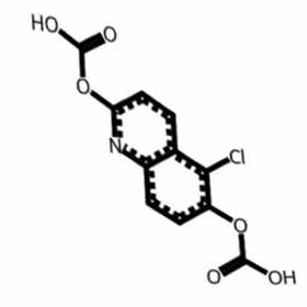 O=C(O)Oc1ccc2c(Cl)c(OC(=O)O)ccc2n1